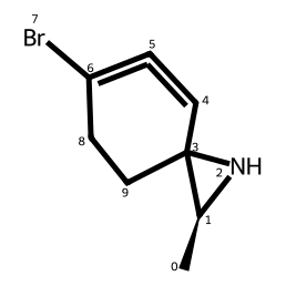 C[C@@H]1NC12C=C=C(Br)CC2